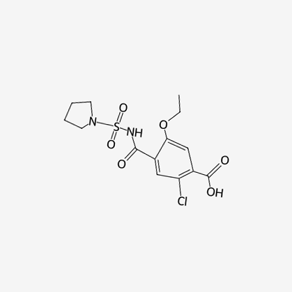 CCOc1cc(C(=O)O)c(Cl)cc1C(=O)NS(=O)(=O)N1CCCC1